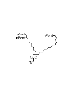 CCCCC/C=C\C/C=C\CCCCCCCCC(C)(CCCCCCCC/C=C\C/C=C\CCCCC)OC(=O)CN(C)C